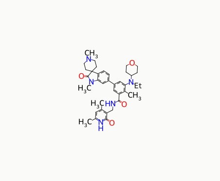 CCN(c1cc(-c2ccc3c(c2)N(C)C(=O)C32CCN(C)CC2)cc(C(=O)NCc2c(C)cc(C)[nH]c2=O)c1C)C1CCOCC1